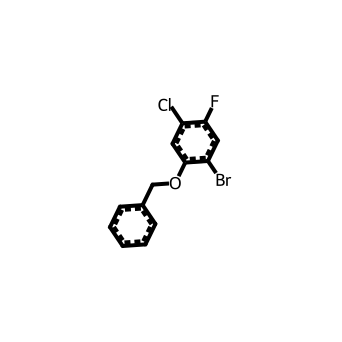 Fc1cc(Br)c(OCc2ccccc2)cc1Cl